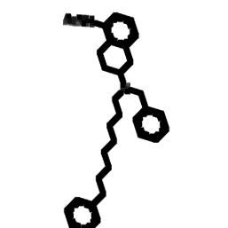 CC(=O)Nc1cccc2c1CCC(N(CCCCCCCCc1ccccc1)Cc1ccccc1)C2